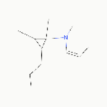 C/C=C\N(C)C1(C)C(C)C1CCC